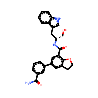 NC(=O)c1cccc(-c2cc3c(c(C(=O)N[C@@H](CO)Cc4c[nH]c5ccccc45)c2)OCC3)c1